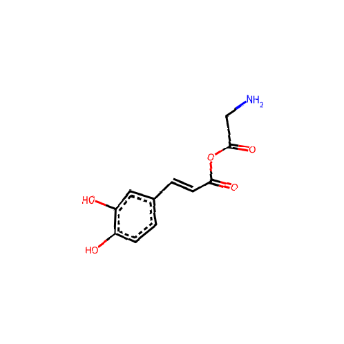 NCC(=O)OC(=O)/C=C/c1ccc(O)c(O)c1